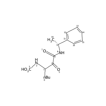 CCCCC(NC(=O)O)C(=O)C(=O)N[C@H](C)c1ccccc1